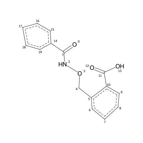 O=C(NOCc1ccccc1C(=O)O)c1ccccc1